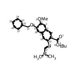 COc1cc2cc(C(=O)OC(C)(C)C)c(/N=C/N(C)C)cc2cc1OCc1ccccc1